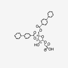 O=C(OC[C@H]1OC(OCS(=O)(=O)O)[C@@H](O)[C@@H]1OC(=O)c1ccc(-c2ccccc2)cc1)c1ccc(-c2ccccc2)cc1